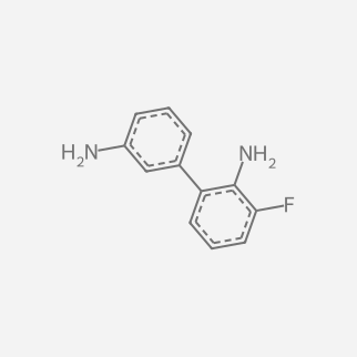 Nc1cccc(-c2cccc(F)c2N)c1